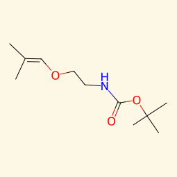 CC(C)=COCCNC(=O)OC(C)(C)C